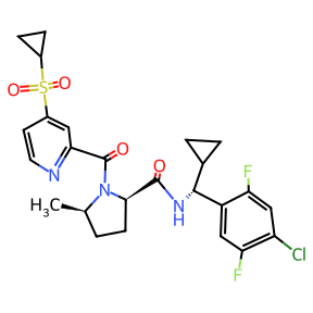 C[C@@H]1CC[C@H](C(=O)N[C@@H](c2cc(F)c(Cl)cc2F)C2CC2)N1C(=O)c1cc(S(=O)(=O)C2CC2)ccn1